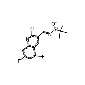 CC(C)(C)[S+]([O-])N=Cc1cc2c(F)cc(F)cc2nc1Cl